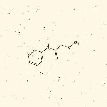 O=C(CSC(F)(F)F)Nc1ccccc1